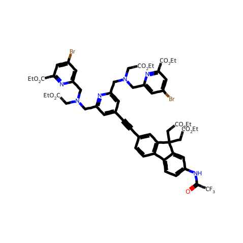 CCOC(=O)CN(Cc1cc(C#Cc2ccc3c(c2)C(CC(=O)OCC)(CC(=O)OCC)c2cc(NC(=O)C(F)(F)F)ccc2-3)cc(CN(CC(=O)OCC)Cc2cc(Br)cc(C(=O)OCC)n2)n1)Cc1cc(Br)cc(C(=O)OCC)n1